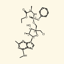 CCOC(=O)[C@@H](C)N[P@](=S)(OC[C@@]1(CCl)O[C@@H](n2cnc3c(NC)nc(C)nc32)[C@@H](F)[C@@H]1O)Oc1ccccc1